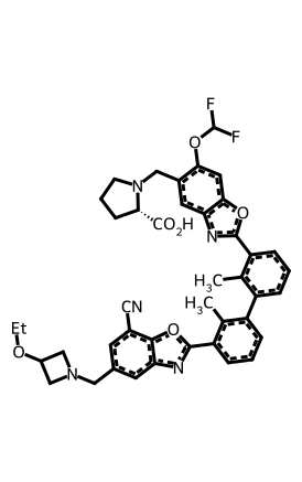 CCOC1CN(Cc2cc(C#N)c3oc(-c4cccc(-c5cccc(-c6nc7cc(CN8CCC[C@H]8C(=O)O)c(OC(F)F)cc7o6)c5C)c4C)nc3c2)C1